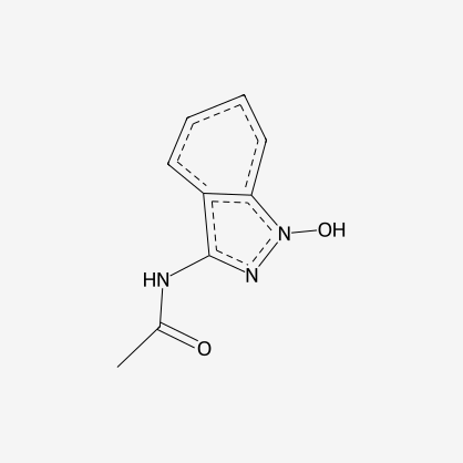 CC(=O)Nc1nn(O)c2ccccc12